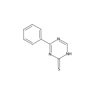 S=c1nc(-c2ccccc2)nc[nH]1